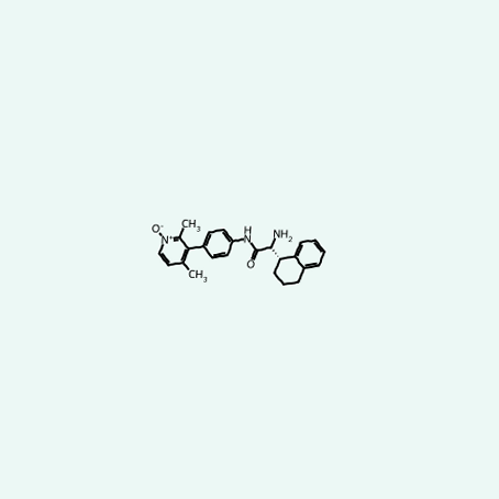 Cc1cc[n+]([O-])c(C)c1-c1ccc(NC(=O)C(N)[C@H]2CCCc3ccccc32)cc1